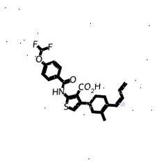 C=C/C=C\C1=C(C)CC(c2csc(NC(=O)c3ccc(OC(F)F)cc3)c2C(=O)O)CC1